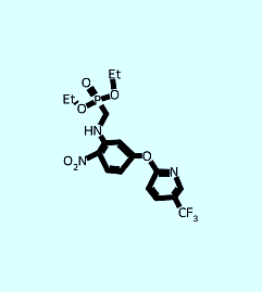 CCOP(=O)(CNc1cc(Oc2ccc(C(F)(F)F)cn2)ccc1[N+](=O)[O-])OCC